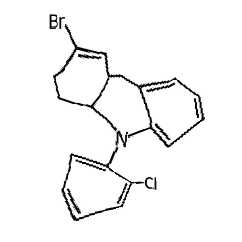 Clc1ccccc1N1c2ccccc2C2C=C(Br)CCC21